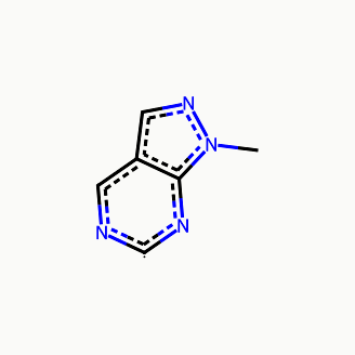 Cn1ncc2cn[c]nc21